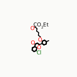 CCOC(=O)C(=O)CCCCCOc1cc(C)ccc1-c1cc(=O)c2cccc(Cl)c2o1